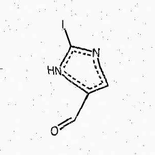 O=Cc1cnc(I)[nH]1